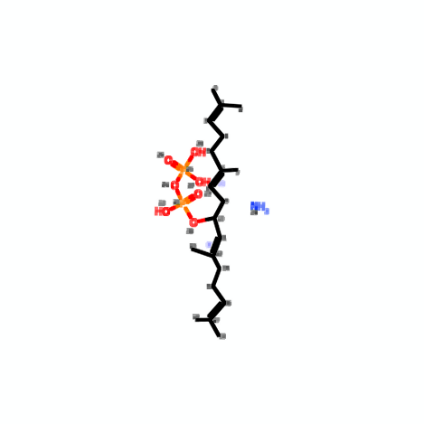 CC(C)=CCC/C(C)=C/CC(/C=C(\C)CCC=C(C)C)OP(=O)(O)OP(=O)(O)O.N